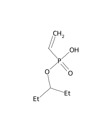 C=CP(=O)(O)OC(CC)CC